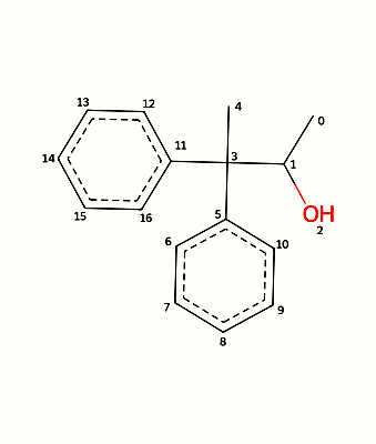 CC(O)C(C)(c1ccccc1)c1ccccc1